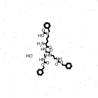 Cl.N[C@@H](CCCN(Cc1ccccc1)C(=O)O)C(=O)N[C@@H](CCNC(=O)OCc1ccccc1)C(=O)NCCNC(=O)OCc1ccccc1